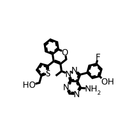 CC(C1=C(c2ccc(CO)s2)c2ccccc2OC1)n1nc(-c2cc(O)cc(F)c2)c2c(N)ncnc21